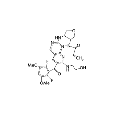 C=CC(=O)NC1COCC1Nc1ncc2cc(C(=O)c3c(F)c(OC)cc(OC)c3F)c(NCCO)nc2n1